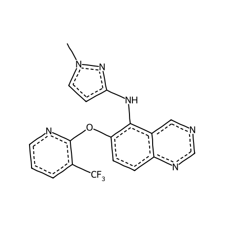 Cn1ccc(Nc2c(Oc3ncccc3C(F)(F)F)ccc3ncncc23)n1